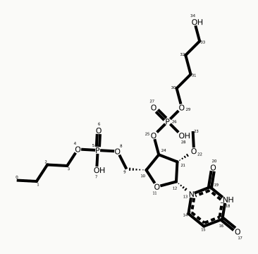 CCCCOP(=O)(O)OC[C@H]1O[C@@H](n2ccc(=O)[nH]c2=O)[C@@H](OC)C1OP(=O)(O)OCCCCO